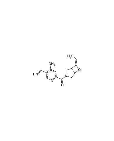 C/C=C1/OC2CN(C(=O)c3cc(N)c(C=N)cn3)CC12